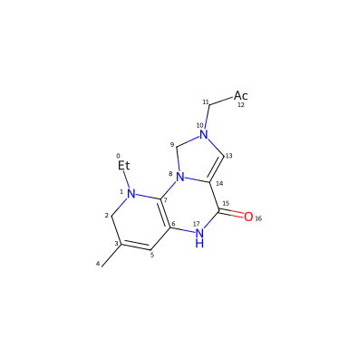 CCN1CC(C)=CC2=C1N1CN(CC(C)=O)C=C1C(=O)N2